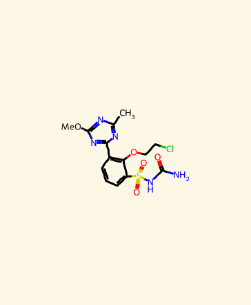 COc1nc(C)nc(-c2cccc(S(=O)(=O)NC(N)=O)c2OCCCl)n1